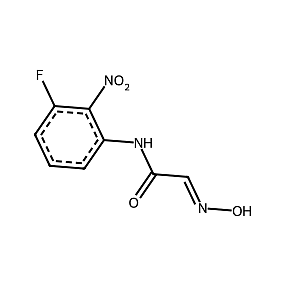 O=C(C=NO)Nc1cccc(F)c1[N+](=O)[O-]